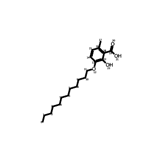 CCCCCCCCCCCCOc1ccc(C)c(C(=O)O)c1O